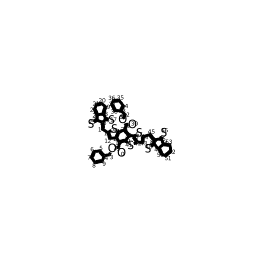 O=C(OCc1ccccc1)c1c2cc(C=C3C(=S)c4ccccc4C3=S)sc2c(C(=O)OCc2ccccc2)c2c1sc1cc(C=C3C(=S)c4ccccc4C3=S)sc12